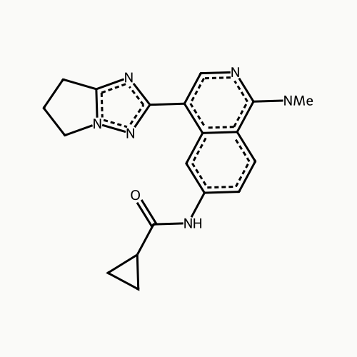 CNc1ncc(-c2nc3n(n2)CCC3)c2cc(NC(=O)C3CC3)ccc12